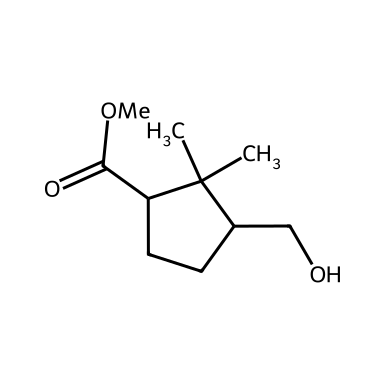 COC(=O)C1CCC(CO)C1(C)C